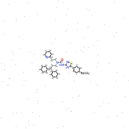 CC(=O)Nc1ccc(-c2nc(NC(=O)N(CCc3ccccn3)CCC(c3ccccc3)c3ccccc3)ns2)cc1